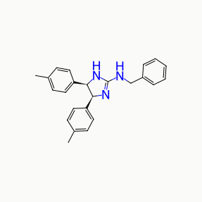 Cc1ccc([C@H]2NC(NCc3ccccc3)=N[C@H]2c2ccc(C)cc2)cc1